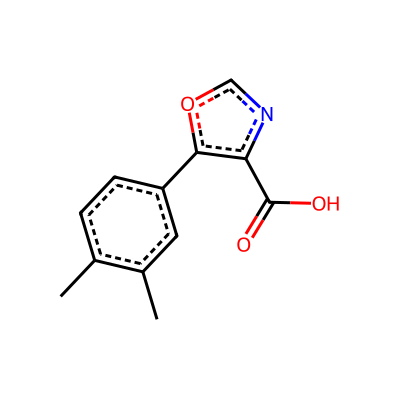 Cc1ccc(-c2ocnc2C(=O)O)cc1C